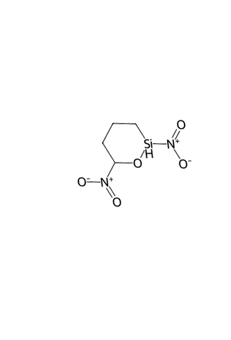 O=[N+]([O-])C1CCC[SiH]([N+](=O)[O-])O1